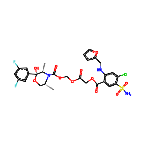 C[C@@H]1CO[C@@](O)(c2cc(F)cc(F)c2)[C@H](C)N1C(=O)OCOC(=O)COC(=O)c1cc(S(N)(=O)=O)c(Cl)cc1NCc1ccco1